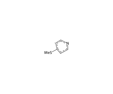 CSc1[c]cncc1